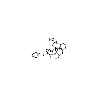 CCN(Cc1ccccc1)C(=O)[C@@](CC)(NC(=O)OCc1ccccc1)C(=O)[C@@H](N)CC(=O)O